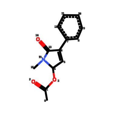 CC(=O)OC1C=C(c2ccccc2)C(=O)N1C